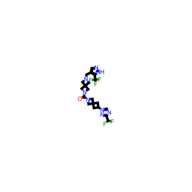 O=C(N1CC2(CC(n3cnc(C(F)F)n3)C2)C1)N1CC2(CN(Cc3cn[nH]c3C(F)(F)F)C2)C1